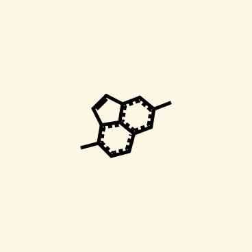 Cc1cc2c3c(c(C)ccc3c1)C=C2